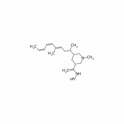 C=C(NCCC)C1CC(C(C)C/C=C(C)/C=C\C=C/C)CN(C)C1